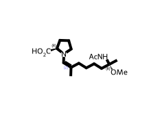 CO[C@](C)(CCCC/C(C)=C\N1CCC[C@@H]1C(=O)O)NC(C)=O